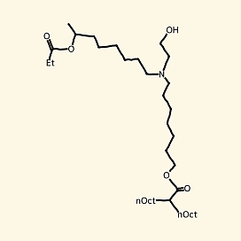 CCCCCCCCC(CCCCCCCC)C(=O)OCCCCCCCN(CCO)CCCCCCC(C)OC(=O)CC